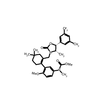 COC(=O)N(C)c1ccc(OC)c(C2=C(CN3C(=O)O[C@H](c4cc(C)cc(C(F)(F)F)c4)[C@@H]3C)CC(C)(C)CC2)c1